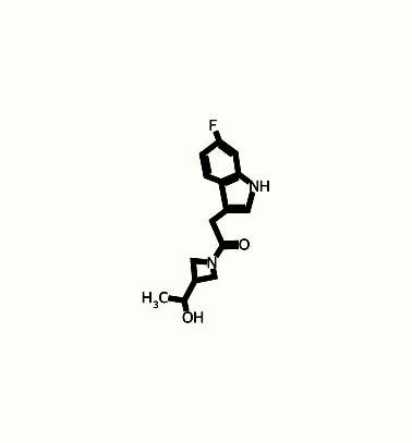 CC(O)C1CN(C(=O)Cc2c[nH]c3cc(F)ccc23)C1